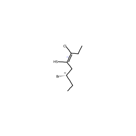 CC/C(Cl)=C(/S)C[C@@H](Br)CC